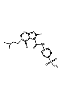 Cc1sc2ncn(CCN(C)C)c(=O)c2c1C(=O)Nc1ccc(S(N)(=O)=O)cc1